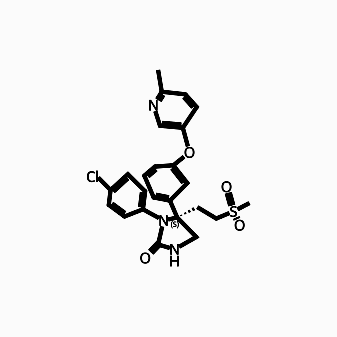 Cc1ccc(Oc2cccc([C@@]3(CCS(C)(=O)=O)CNC(=O)N3c3ccc(Cl)cc3)c2)cn1